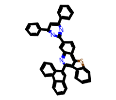 c1ccc(-c2cc(-c3ccccc3)nc(-c3ccc4c(c3)nc(-c3cc5ccccc5c5ccccc35)c3c5ccccc5sc43)n2)cc1